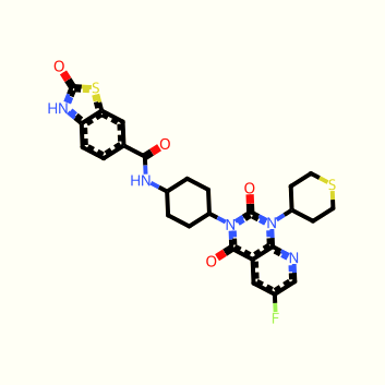 O=C(NC1CCC(n2c(=O)c3cc(F)cnc3n(C3CCSCC3)c2=O)CC1)c1ccc2[nH]c(=O)sc2c1